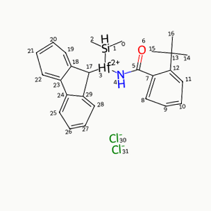 C[SiH](C)[Hf+2]([NH]C(=O)c1ccccc1C(C)(C)C)[CH]1c2ccccc2-c2ccccc21.[Cl-].[Cl-]